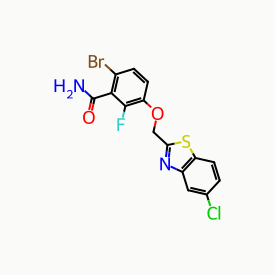 NC(=O)c1c(Br)ccc(OCc2nc3cc(Cl)ccc3s2)c1F